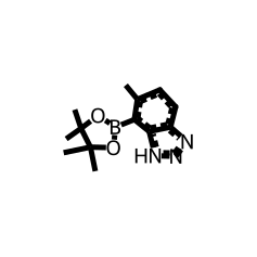 Cc1ccc2nn[nH]c2c1B1OC(C)(C)C(C)(C)O1